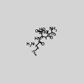 CSC[C@H](N)C(=O)NC(CP(=O)(O)C(C)N)C(=O)O